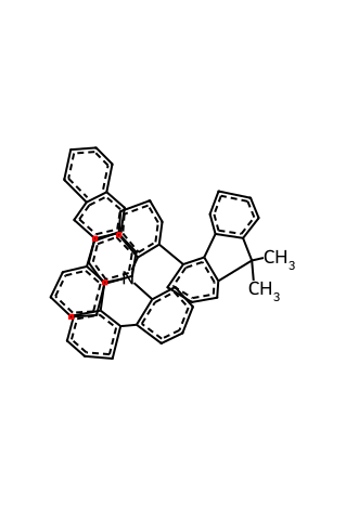 CC1(C)c2ccccc2-c2c(-c3ccccc3N(c3ccccc3-c3ccc4ccccc4c3)c3ccccc3-c3ccccc3-c3ccccc3)cccc21